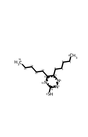 CCCCCc1nnc(S)nc1CCCCC